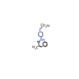 CC(=Cc1ccccc1)C1CC1NC1CCN(CCC(=O)O)CC1